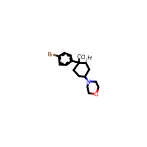 O=C(O)C1(c2ccc(Br)cc2)CCC(N2CCOCC2)CC1